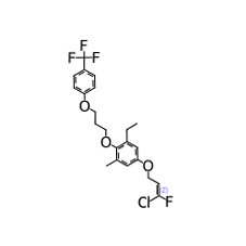 CCc1cc(OC/C=C(/F)Cl)cc(C)c1OCCCOc1ccc(C(F)(F)F)cc1